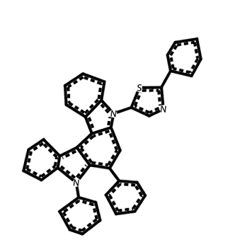 c1ccc(-c2ncc(-n3c4ccccc4c4c5c6ccccc6n(-c6ccccc6)c5c(-c5ccccc5)cc43)s2)cc1